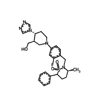 C[C@H]1CCC(c2ccccc2)S(=O)(=O)N1Cc1ccc(N2CC[C@@H](n3cnnc3)C(CO)C2)cc1F